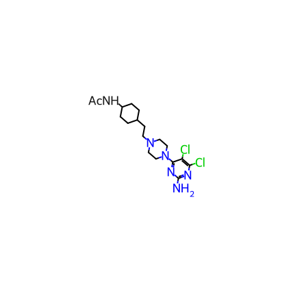 CC(=O)NC1CCC(CCN2CCN(c3nc(N)nc(Cl)c3Cl)CC2)CC1